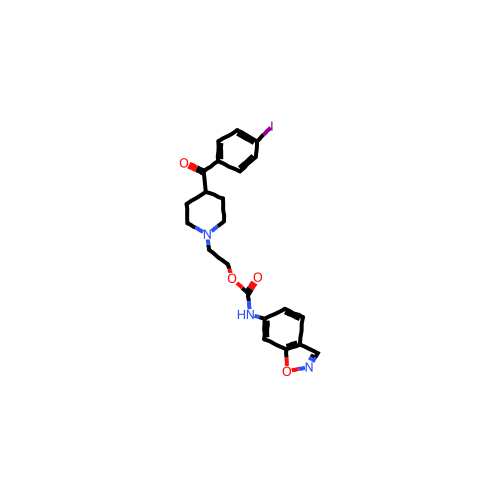 O=C(Nc1ccc2cnoc2c1)OCCN1CCC(C(=O)c2ccc(I)cc2)CC1